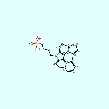 O=P(O)(O)CCCCn1c2ccc3cccc4c5cccc6ccc1c(c65)c2c34